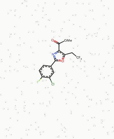 COC(=O)c1nc(-c2ccc(F)c(Cl)c2)oc1CC(F)(F)F